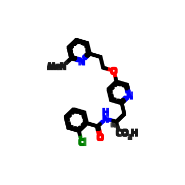 CNc1cccc(CCOc2ccc(C[C@H](NC(=O)c3ccccc3Cl)C(=O)O)nc2)n1